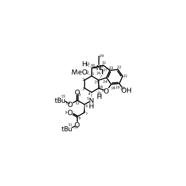 CO[C@@]12CC[C@@H](N[C@@H](CC(=O)OC(C)(C)C)C(=O)OC(C)(C)C)[C@@H]3Oc4c(O)ccc5c4[C@@]31CCN(C)[C@@H]2C5